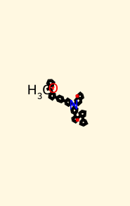 Cc1c(-c2cccc(-c3ccc(-c4ccc(N(c5ccc(-c6ccccc6-c6ccccc6-c6ccccc6)cc5)c5ccc6ccccc6c5)cc4)cc3)c2)oc2ccccc12